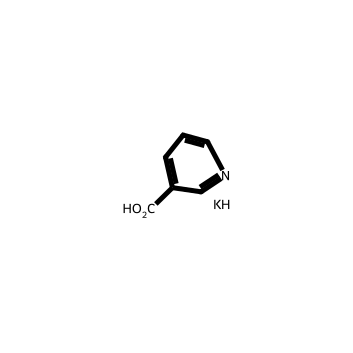 O=C(O)c1cccnc1.[KH]